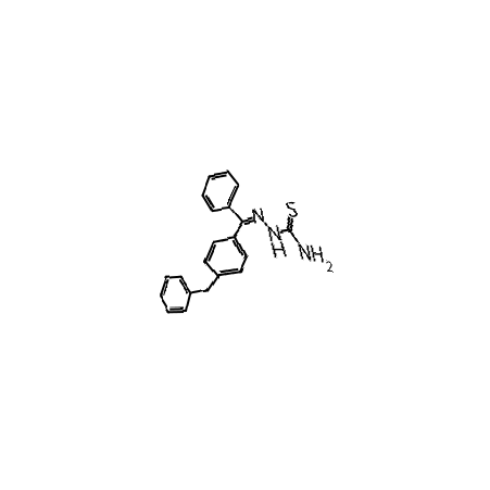 NC(=S)NN=C(c1ccccc1)c1ccc(Cc2ccccc2)cc1